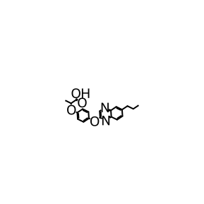 CCCc1ccc2nc(Oc3ccc(OC(C)C(=O)O)cc3)cnc2c1